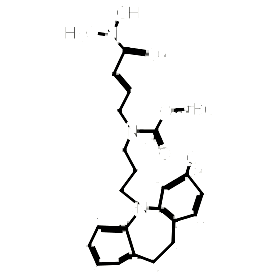 CN(C)C(=O)/C=C/CN(CCCN1c2ccccc2CCc2ccc(Cl)cc21)C(=O)OC(C)(C)C